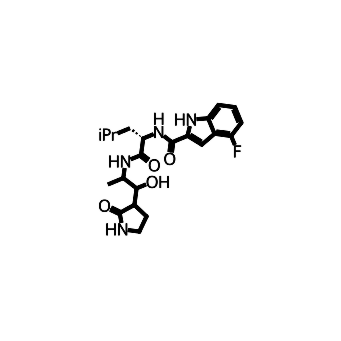 CC(C)C[C@H](NC(=O)c1cc2c(F)cccc2[nH]1)C(=O)NC(C)C(O)C1CCNC1=O